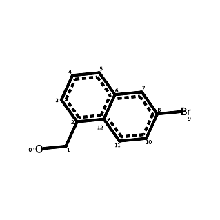 [O]Cc1cccc2cc(Br)ccc12